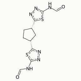 O=CNc1nnc([C@@H]2CC[C@H](c3nnc(NC=O)s3)C2)s1